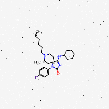 C=CCCCCN1CC[C@@]2(C[C@@H]1C)C(NC1CCCCC1)=NC(=O)N2c1ccc(I)cc1